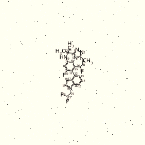 Cc1nnc2n1-c1c(cc(F)c(-c3cccc4c3ccn4CC(F)F)c1C(F)F)NC2(C)C